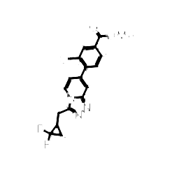 COC(=O)c1ccc(-c2ccn3c(CC4CC4(F)F)nnc3c2)c(Cl)c1